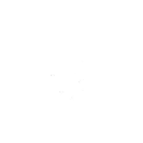 C=C/C=C/C(OC(C)=O)C(=O)OC